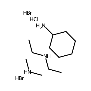 Br.Br.CCNCC.CNC.Cl.NC1CCCCC1